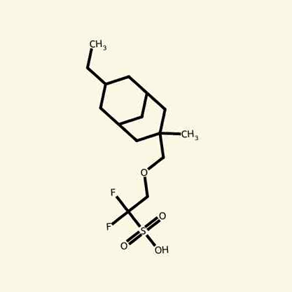 CCC1CC2CC(C1)CC(C)(COCC(F)(F)S(=O)(=O)O)C2